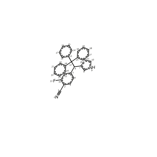 N#Cc1ccc(C(c2c[nH]cn2)C(c2ccccc2)(c2ccccc2)c2ccccc2)cc1F